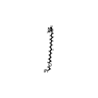 CC(C)CCOCCCCCCCCCCCCCCCCn1ccnc1